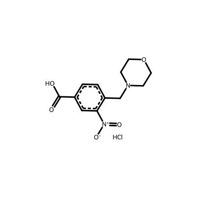 Cl.O=C(O)c1ccc(CN2CCOCC2)c([N+](=O)[O-])c1